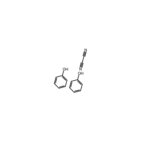 N#CC#N.Oc1ccccc1.Oc1ccccc1